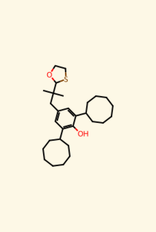 CC(C)(Cc1cc(C2CCCCCCC2)c(O)c(C2CCCCCCC2)c1)C1OCCS1